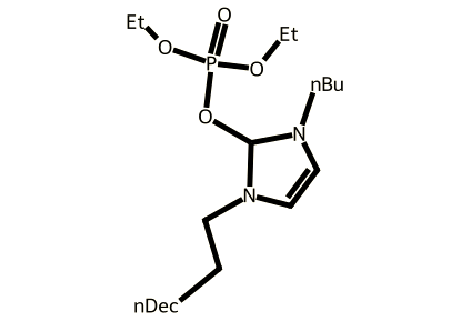 CCCCCCCCCCCCN1C=CN(CCCC)C1OP(=O)(OCC)OCC